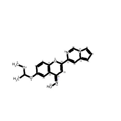 COC(C)Oc1ccc2oc(-c3cc4cccn4cn3)c/c(=N/O)c2c1